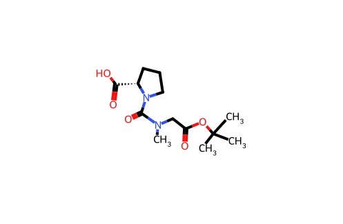 CN(CC(=O)OC(C)(C)C)C(=O)N1CCC[C@H]1C(=O)O